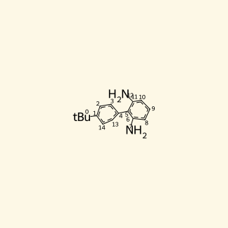 CC(C)(C)c1ccc(-c2c(N)cccc2N)cc1